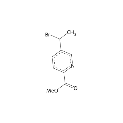 COC(=O)c1ccc(C(C)Br)cn1